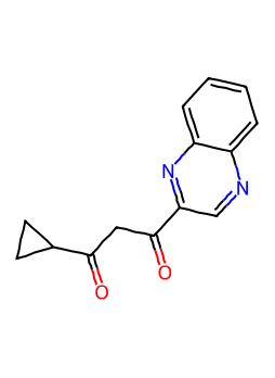 O=C(CC(=O)C1CC1)c1cnc2ccccc2n1